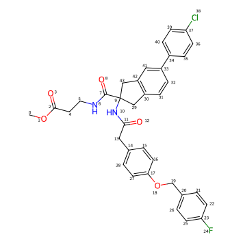 COC(=O)CCNC(=O)C1(NC(=O)Cc2ccc(OCc3ccc(F)cc3)cc2)Cc2ccc(-c3ccc(Cl)cc3)cc2C1